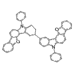 C1=c2c(n(-c3ccccc3)c3ccc4c5ccccc5oc4c23)=CCC1c1ccc2c(c1)c1c3oc4ccccc4c3ccc1n2-c1ccccc1